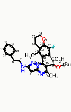 Cc1nc2cc(NCCc3ccccc3)nn2c(-c2cc(F)c3c(c2C)CCCO3)c1[C@H](OC(C)(C)C)C(=O)O